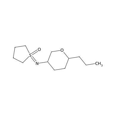 CCCC1CCC(N=S2(=O)CCCC2)CO1